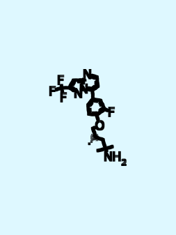 C[C@H](COc1ccc(-c2ccnc3cc(C(F)(F)F)nn23)cc1F)CC(C)(C)N